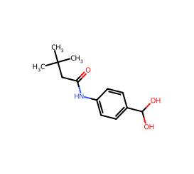 CC(C)(C)CC(=O)Nc1ccc(C(O)O)cc1